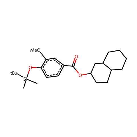 COc1cc(C(=O)OC2CCC3CCCCC3C2)ccc1O[Si](C)(C)C(C)(C)C